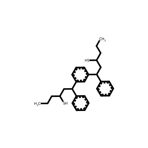 CCCC(S)CC(c1ccccc1)c1cccc(C(CC(S)CCC)c2ccccc2)c1